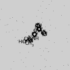 CC(C)(O)c1cnc(N[C@H]2CC[C@@H](Oc3cc(N4CCOCC4)cc4nccnc34)CC2)nc1